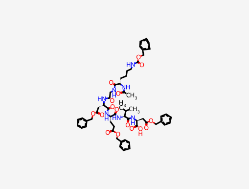 CC(=O)N[C@@H](CCCCNC(=O)OCc1ccccc1)C(=O)NCC(=O)N[C@@H](CC(=O)OCc1ccccc1)C(=O)N[C@@H](CCC(=O)OCc1ccccc1)C(=O)N[C@H](C(=O)N[C@@H](CC(=O)OCc1ccccc1)C(=O)O)C(C)C